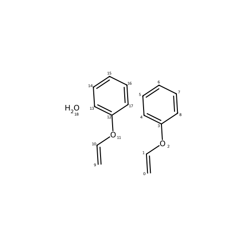 C=COc1ccccc1.C=COc1ccccc1.O